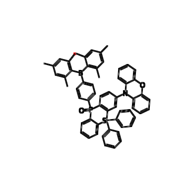 Cc1cc(C)c(B(c2ccc(P3(=O)c4ccccc4[Si](c4ccccc4)(c4ccccc4)c4cc(N5c6ccccc6Oc6ccccc65)ccc43)cc2)c2c(C)cc(C)cc2C)c(C)c1